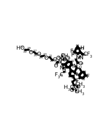 CC(C)(CCc1ccc(-c2ccc(Cl)c3c(N(C(=O)OCCOCCOCCOCCO)S(C)(=O)=O)nn(CC(F)(F)F)c23)c([C@H](Cc2cc(F)cc(F)c2)NC(=O)Cn2nc(C(F)(F)F)c3c2C(F)(F)C2C[C@H]32)n1)S(C)(=O)=O